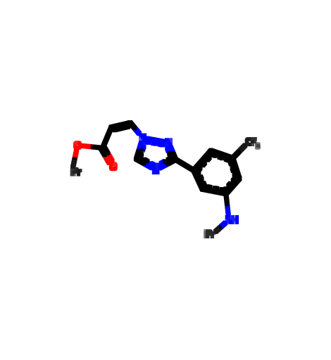 CC(C)Nc1cc(-c2ncn(/C=C\C(=O)OC(C)C)n2)cc(C(F)(F)F)c1